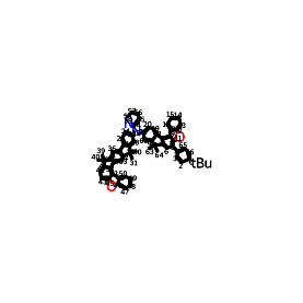 CC(C)(C)c1ccc(-c2cc3c(c4c2oc2ccccc24)-c2ccc(N(c4ccc5c(c4)C(C)(C)c4cc6c(cc4-5)C(C)(C)c4ccc5oc7ccccc7c5c4-6)c4ccccn4)cc2C3(C)C)cc1